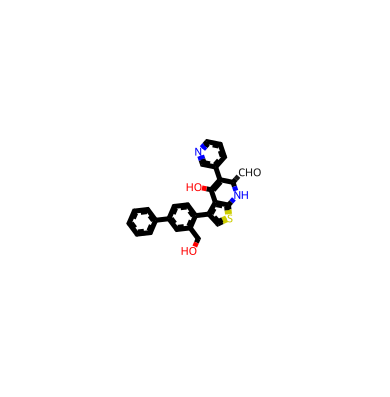 O=CC1Nc2scc(-c3ccc(-c4ccccc4)cc3CO)c2C(O)=C1c1cccnc1